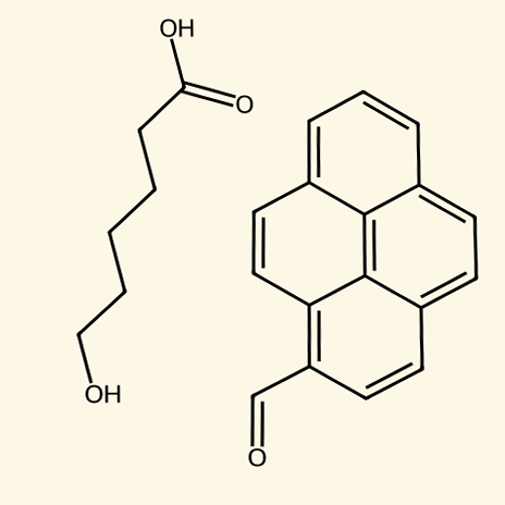 O=C(O)CCCCCO.O=Cc1ccc2ccc3cccc4ccc1c2c34